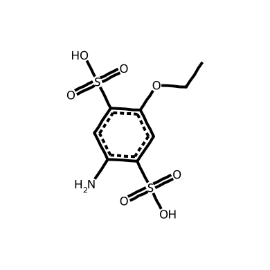 CCOc1cc(S(=O)(=O)O)c(N)cc1S(=O)(=O)O